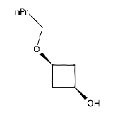 CCCCO[C@H]1C[C@@H](O)C1